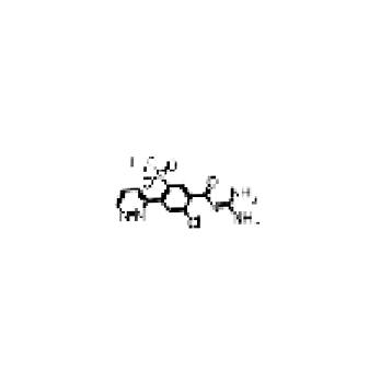 CS(=O)(=O)c1cc(C(=O)N=C(N)N)c(Cl)cc1-c1cccnn1